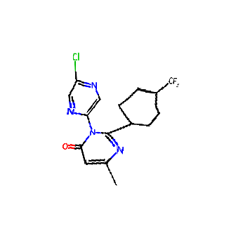 Cc1cc(=O)n(-c2cnc(Cl)cn2)c(C2CCC(C(F)(F)F)CC2)n1